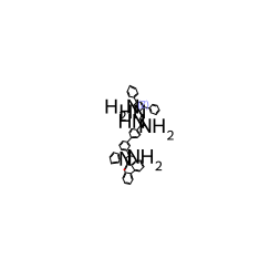 NC(/C=C(\NCNC(N)c1ccc(-c2cccc(C(N)N(c3ccccc3)c3cc4ccccc4c4ccccc34)c2)cc1)c1ccccc1)c1ccccc1